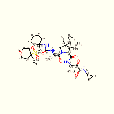 CCCC[C@H](NC(=O)[C@@H]1[C@@H]2[C@H](CN1C(=O)[C@@H](NC(=O)NC1(CS(=O)(=O)C3(C)CCOCC3)CCCCC1)C(C)(C)C)C2(C)C)C(=O)C(=O)NC1CC1